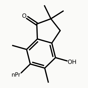 CCCc1c(C)c(O)c2c(c1C)C(=O)C(C)(C)C2